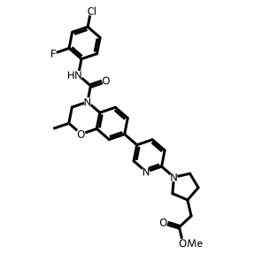 COC(=O)CC1CCN(c2ccc(-c3ccc4c(c3)OC(C)CN4C(=O)Nc3ccc(Cl)cc3F)cn2)C1